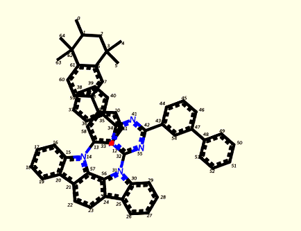 CC1CC(C)(C)c2cc(-c3cccc(-n4c5ccccc5c5ccc6c7ccccc7n(-c7nc(-c8ccccc8)nc(-c8cccc(-c9ccccc9)c8)n7)c6c54)c3)ccc2C1(C)C